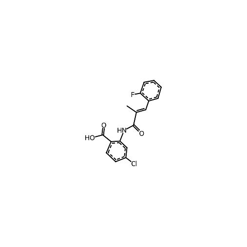 C/C(=C\c1ccccc1F)C(=O)Nc1cc(Cl)ccc1C(=O)O